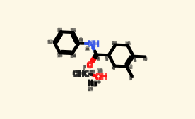 CC1=C(C)CC(C(=O)Nc2ccccc2)CC1.O=[C-]O.[Na+]